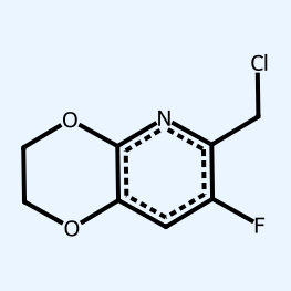 Fc1cc2c(nc1CCl)OCCO2